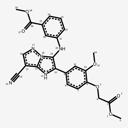 COC(=O)COc1ccc(-c2[nH]c3c(C#N)cnn3c2Nc2cccc(C(=O)OC)c2)cc1OC